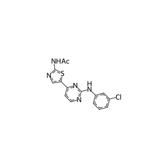 CC(=O)Nc1ncc(-c2ccnc(Nc3cccc(Cl)c3)n2)s1